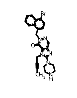 CC#CCn1c(N2CCNCC2)nc2cnn(Cc3ccc(Br)c4ccccc34)c(=O)c21